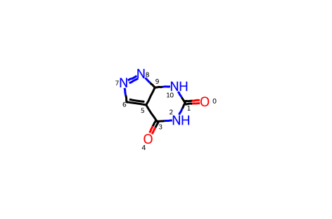 O=C1NC(=O)C2=CN=NC2N1